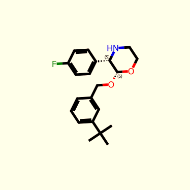 CC(C)(C)c1cccc(CO[C@H]2OCCN[C@H]2c2ccc(F)cc2)c1